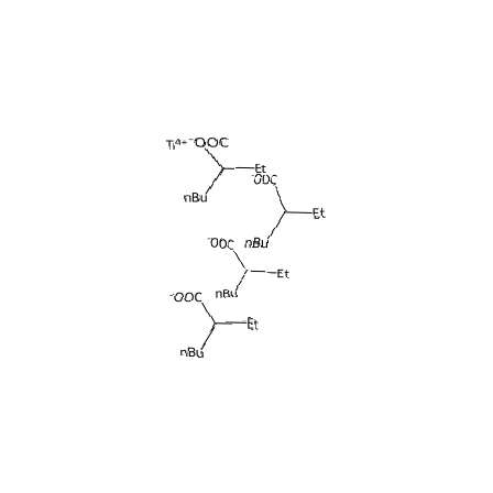 CCCCC(CC)C(=O)[O-].CCCCC(CC)C(=O)[O-].CCCCC(CC)C(=O)[O-].CCCCC(CC)C(=O)[O-].[Ti+4]